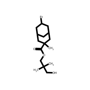 CCC1CC2CC(C1)CC(C)(C(=O)OCC(C)(C)CO)C2